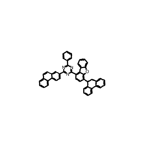 c1ccc(-c2nc(-c3ccc4c(ccc5ccccc54)c3)nc(-c3ccc(C4Cc5ccccc5-c5ccccc54)c4oc5ccccc5c34)n2)cc1